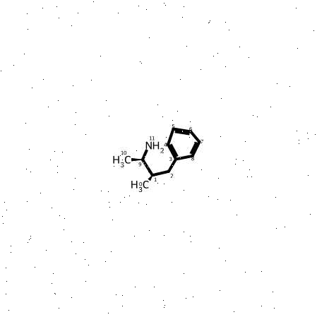 C[C@H](Cc1ccccc1)[C@@H](C)N